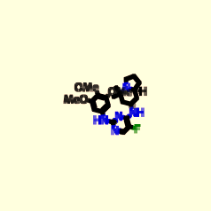 COc1cc(Nc2ncc(F)c(N[C@@H]3C[C@@H]4CCCN4C(C)(C)C3)n2)cc(OC)c1OC